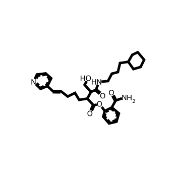 NC(=O)c1ccccc1OC(=O)C(CCCC=Cc1cccnc1)C(CO)C(=O)NCCCCC1CCCCC1